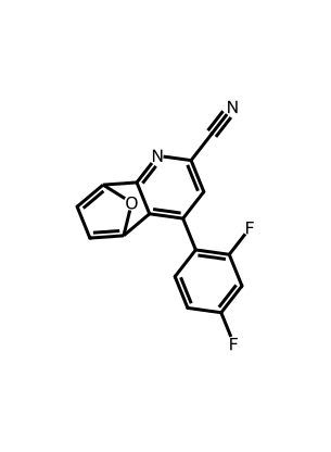 N#Cc1cc(-c2ccc(F)cc2F)c2c3ccc(o3)c2n1